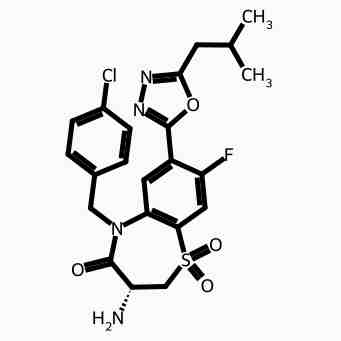 CC(C)Cc1nnc(-c2cc3c(cc2F)S(=O)(=O)C[C@H](N)C(=O)N3Cc2ccc(Cl)cc2)o1